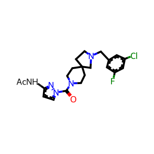 CC(=O)Nc1ccn(C(=O)N2CCC3(CCN(Cc4cc(F)cc(Cl)c4)C3)CC2)n1